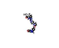 CC1(Cn2ncc3ccc(COc4cccc(C5CCN(Cc6nc7ccc(C(=O)O)cc7n6C[C@@H]6CCO6)CC5)n4)cc32)COC1